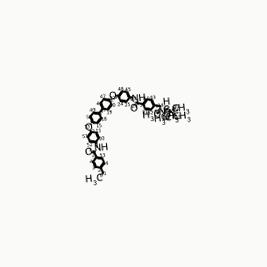 CCc1ccc(C(=O)Nc2ccc(Oc3ccc(-c4ccc(Oc5ccc(NC(=O)c6ccc(C[N+](C)(C)B[N+](C)(C)C)cc6)cc5)cc4)cc3)cc2)cc1